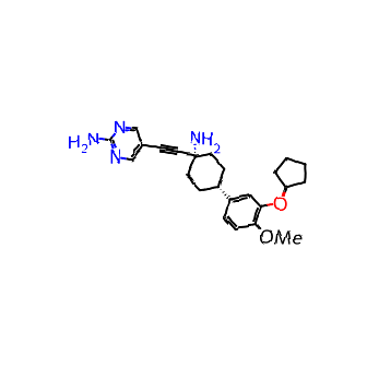 COc1ccc([C@H]2CC[C@](N)(C#Cc3cnc(N)nc3)CC2)cc1OC1CCCC1